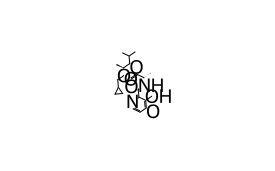 COc1ccnc(C(=O)N[C@@H](C)C(=O)O[C@H](C(C)C)[C@H](C)OCC2CC2)c1O